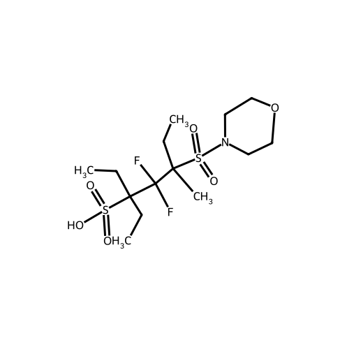 CCC(CC)(C(F)(F)C(C)(CC)S(=O)(=O)N1CCOCC1)S(=O)(=O)O